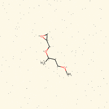 CC(CCO[SiH3])OCC1CO1